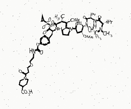 CC[C@H](C)[C@@H]([C@@H](CC(=O)N1CCC[C@H]1[C@H](OC)[C@@H](C)C(=O)N[C@@H](Cc1ccc(OC(=O)NCCOCCC(=O)N2CCC(C(=O)O)CC2)cc1)C(=O)NS(=O)(=O)C1CC1)OC)N(C)C(=O)[C@@H](NC(=O)[C@H](C(C)C)N(C)C)C(C)C